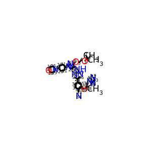 CC(C)OCCOc1nn(C2CCC(N3CCOCC3)CC2)cc1Nc1ncc(-c2ccc(C#N)c(OC(C)Cn3cncn3)c2)cn1